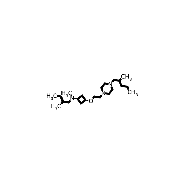 CCCC(C)CN1CCN(CCO[C@H]2C[C@H](N(C)CC(C)CC)C2)CC1